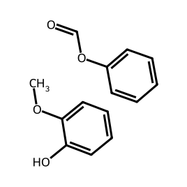 COc1ccccc1O.O=COc1ccccc1